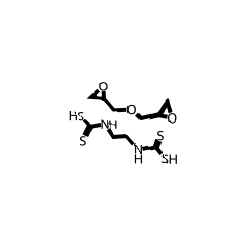 C(OCC1CO1)C1CO1.S=C(S)NCCNC(=S)S